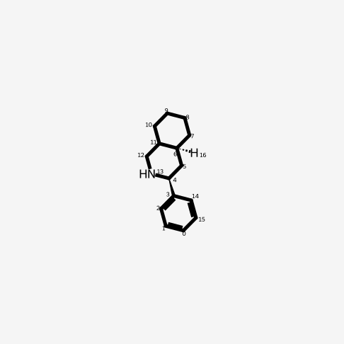 c1ccc([C@@H]2C[C@@H]3CCCCC3CN2)cc1